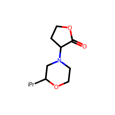 CC(C)C1CN(C2CCOC2=O)CCO1